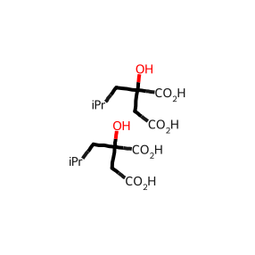 CC(C)CC(O)(CC(=O)O)C(=O)O.CC(C)CC(O)(CC(=O)O)C(=O)O